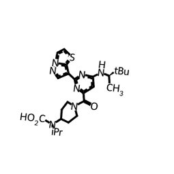 CC(C)N(C(=O)O)C1CCN(C(=O)c2cc(N[C@H](C)C(C)(C)C)nc(-c3cnn4ccsc34)n2)CC1